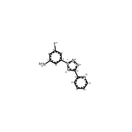 Nc1cc(F)cc(-n2nnc(-c3ccccn3)n2)c1